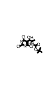 CC(NC(=O)OC(C)(C)C)C(O)c1c(Cl)nc(Cl)nc1Cl